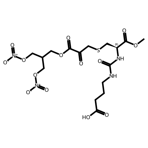 COC(=O)[C@H](CSCC(=O)C(=O)OCC(CO[N+](=O)[O-])CO[N+](=O)[O-])NC(=O)NCCCC(=O)O